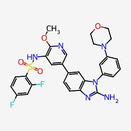 COc1ncc(-c2ccc3nc(N)n(-c4cccc(N5CCOCC5)c4)c3c2)cc1NS(=O)(=O)c1ccc(F)cc1F